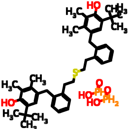 Cc1c(Cc2ccccc2CCSCCc2ccccc2Cc2cc(C(C)(C)C)c(O)c(C)c2C)cc(C(C)(C)C)c(O)c1C.O=[PH2]O.O=[PH2]O